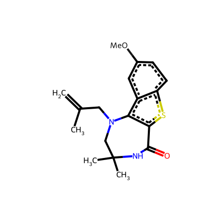 C=C(C)CN1CC(C)(C)NC(=O)c2sc3ccc(OC)cc3c21